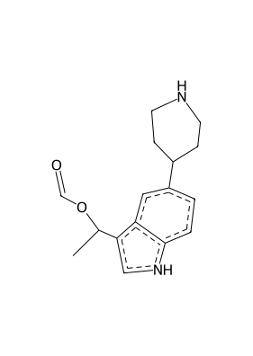 CC(OC=O)c1c[nH]c2ccc(C3CCNCC3)cc12